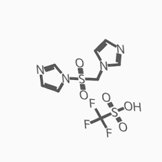 O=S(=O)(Cn1ccnc1)n1ccnc1.O=S(=O)(O)C(F)(F)F